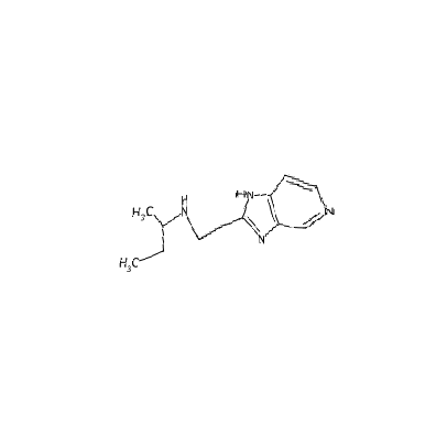 CCC(C)NCc1nc2cnccc2[nH]1